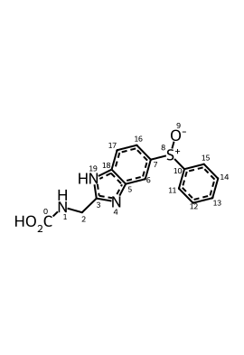 O=C(O)NCc1nc2cc([S+]([O-])c3ccccc3)ccc2[nH]1